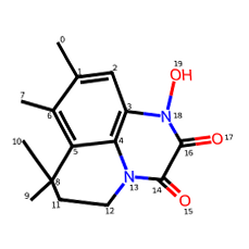 Cc1cc2c3c(c1C)C(C)(C)CCn3c(=O)c(=O)n2O